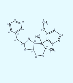 COc1ccccc1C1(O)C(C)CCC2CN(Cc3ccccc3)CC21